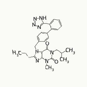 CCCc1nc2c(c(=O)n(CC(C)C)c(=O)n2C)n1Cc1ccc(-c2ccccc2-c2nnn[nH]2)cc1